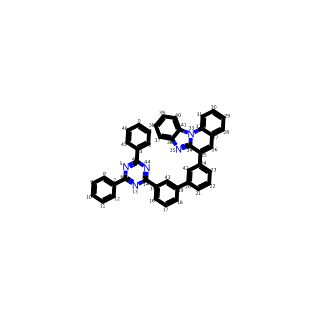 c1ccc(-c2nc(-c3ccccc3)nc(-c3cccc(-c4cccc(-c5cc6ccccc6n6c5nc5ccccc56)c4)c3)n2)cc1